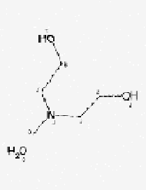 CN(CCO)CCO.O